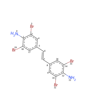 Nc1c(Br)cc(C=Cc2cc(Br)c(N)c(Br)c2)cc1Br